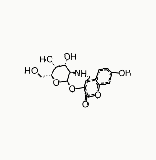 N[C@H]1C(Oc2cc3ccc(O)cc3oc2=O)O[C@H](CO)[C@H](O)[C@@H]1O